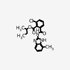 CCC(C)OC(=O)c1c(Cl)cccc1C(=O)Nc1nc2cccc(C)c2[nH]1